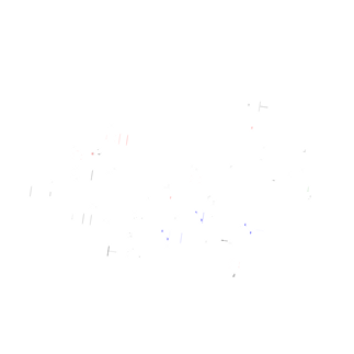 COc1ccc(Cl)cc1C[C@@H]1CNC(=O)CN(C(=O)N[C@H](C)c2ccc(C(=O)O)c(C(C)(C)C)c2)C1=O